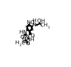 CC(O)CNc1cc2c(=O)n(NS(C)(=O)=O)c(=O)[nH]c2cc1[N+](=O)[O-]